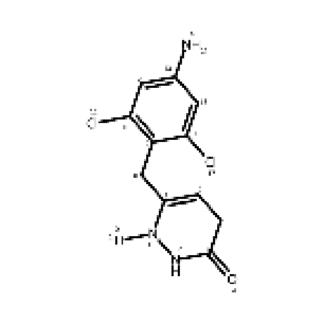 [2H]N1NC(=O)CC=C1Cc1c(Cl)cc(N)cc1Cl